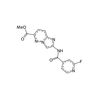 COC(=O)c1ccc2nc(NC(=O)c3ccnc(F)c3)cn2n1